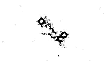 COCCc1nc2c(N)nc3ccccc3c2n1CCCCNS(=O)(=O)c1c(F)cccc1F